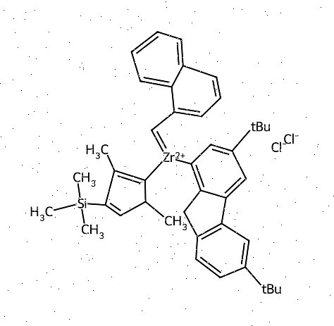 CC1=[C](/[Zr+2](=[CH]/c2cccc3ccccc23)[c]2cc(C(C)(C)C)cc3c2Cc2ccc(C(C)(C)C)cc2-3)C(C)C=C1[Si](C)(C)C.[Cl-].[Cl-]